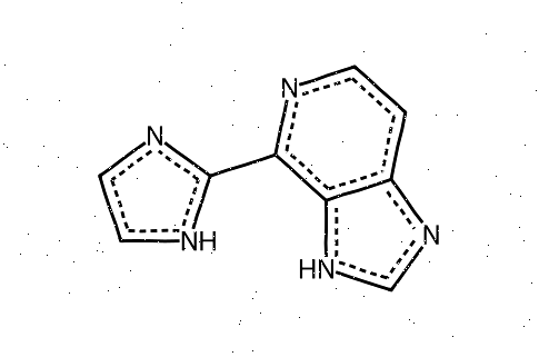 c1c[nH]c(-c2nccc3nc[nH]c23)n1